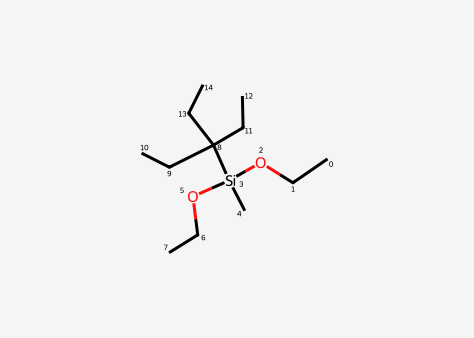 CCO[Si](C)(OCC)C(CC)(CC)CC